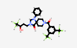 O=C(c1cc(C(F)(F)F)cc(C(F)(F)F)c1)N1CCC2(CC1)C(=O)N(CCC(O)C(F)(F)F)CN2c1ccccc1